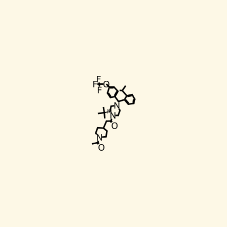 CC(=O)N1CCC(CC(=O)N2CCN(C(c3ccc(OC(F)(F)F)cc3)c3ccccc3C(C)C)C[C@@H]2C(C)(C)C)CC1